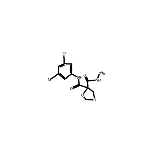 CCCCNC(=O)C1(C(=O)Nc2cc(Cl)cc(Cl)c2)COCO1